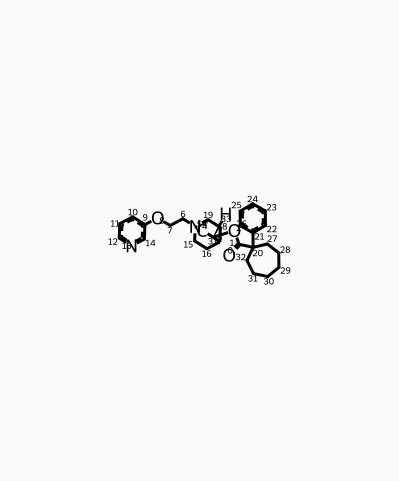 O=C(O[C@H]1C[N+]2(CCOc3cccnc3)CCC1CC2)C1(c2ccccc2)CCCCCC1